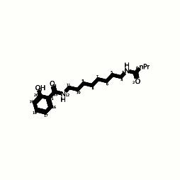 CCCC(=O)NCCCCCCCCNC(=O)c1ccccc1O